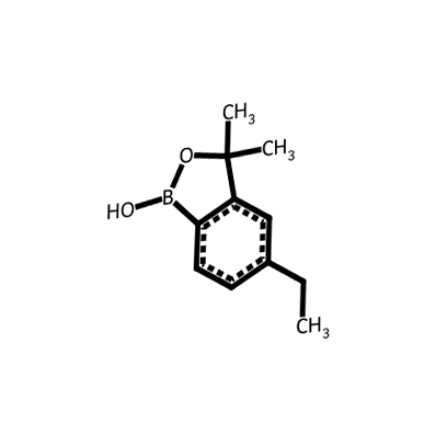 CCc1ccc2c(c1)C(C)(C)OB2O